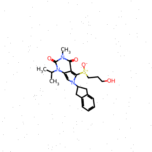 CC(C)n1c(=O)n(C)c(=O)c2c([S+]([O-])CCCO)n(C3Cc4ccccc4C3)cc21